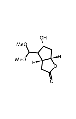 COC(OC)C1[C@H](O)C[C@@H]2OC(=O)C[C@H]12